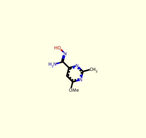 COc1cc(/C(N)=N/O)nc(C)n1